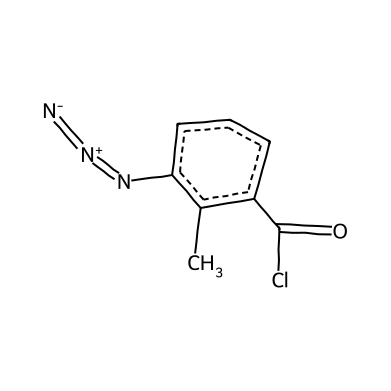 Cc1c(N=[N+]=[N-])cccc1C(=O)Cl